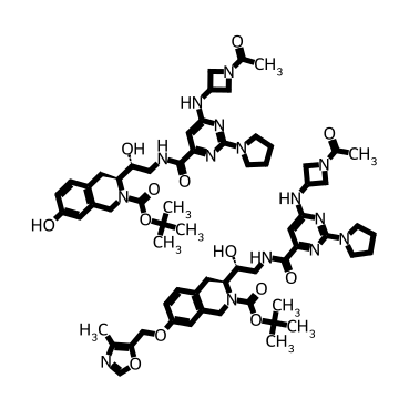 CC(=O)N1CC(Nc2cc(C(=O)NC[C@@H](O)[C@@H]3Cc4ccc(O)cc4CN3C(=O)OC(C)(C)C)nc(N3CCCC3)n2)C1.CC(=O)N1CC(Nc2cc(C(=O)NC[C@@H](O)[C@@H]3Cc4ccc(OCc5ocnc5C)cc4CN3C(=O)OC(C)(C)C)nc(N3CCCC3)n2)C1